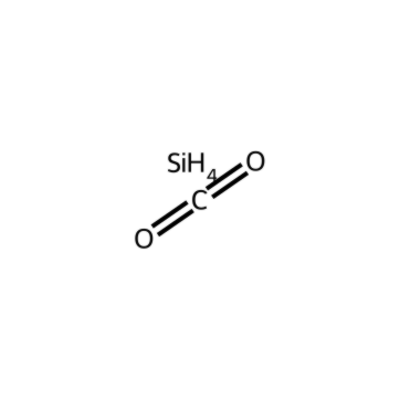 O=C=O.[SiH4]